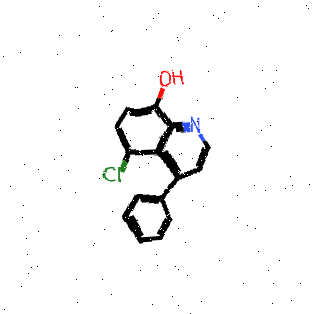 Oc1ccc(Cl)c2c(-c3ccccc3)ccnc12